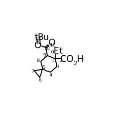 CCC1(C(=O)O)CCC2(CC2)CC1C(=O)OC(C)(C)C